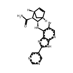 NC(=O)[C@@H]1[C@H](Nc2c(Br)cnc3[nH]c(-c4cncnc4)nc23)[C@H]2C=C[C@@H]1C2